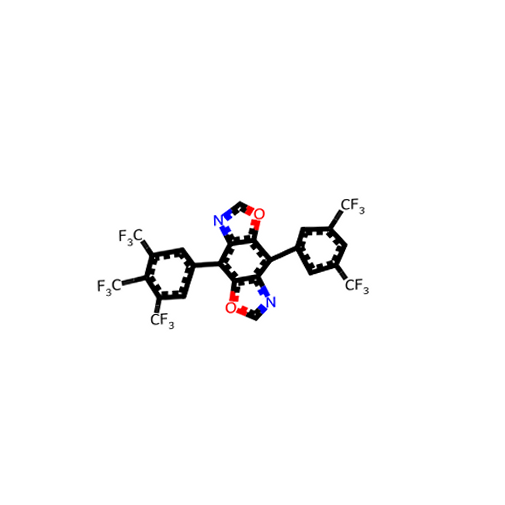 FC(F)(F)c1cc(-c2c3ncoc3c(-c3cc(C(F)(F)F)c(C(F)(F)F)c(C(F)(F)F)c3)c3ncoc23)cc(C(F)(F)F)c1